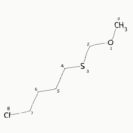 COCSCCCCCl